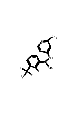 Cc1cc(NC(C)c2cccc(C(C)(F)F)c2F)ccn1